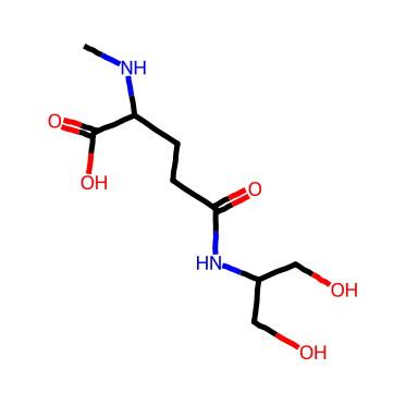 CNC(CCC(=O)NC(CO)CO)C(=O)O